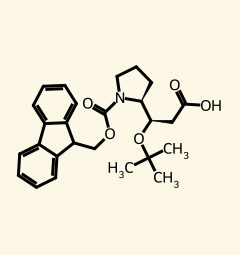 CC(C)(C)O[C@H](CC(=O)O)[C@@H]1CCCN1C(=O)OCC1c2ccccc2-c2ccccc21